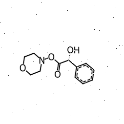 O=C(ON1CCOCC1)[C@H](O)c1ccccc1